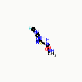 CCNC(=O)O[C@@H]1CN[C@H](C#Cc2cc3c(Nc4ccc5c(cnn5Cc5cccc(F)c5)c4)ncnc3s2)C1